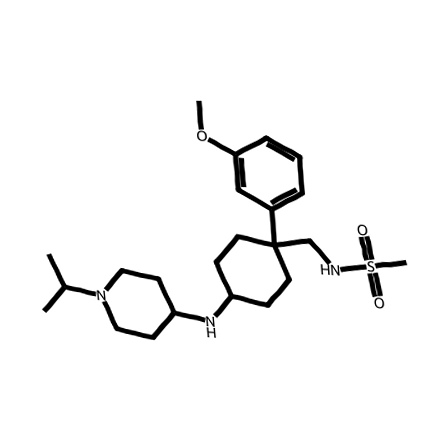 COc1cccc(C2(CNS(C)(=O)=O)CCC(NC3CCN(C(C)C)CC3)CC2)c1